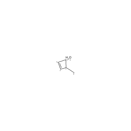 CC1C=CC1.O